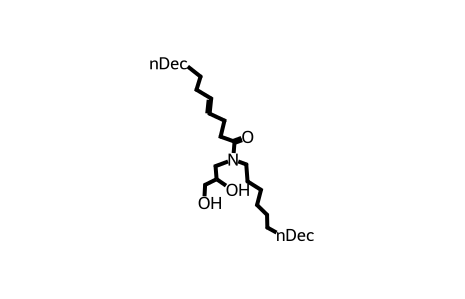 CCCCCCCCCCCCC=CCCC(=O)N(CCCCCCCCCCCCCCCC)CC(O)CO